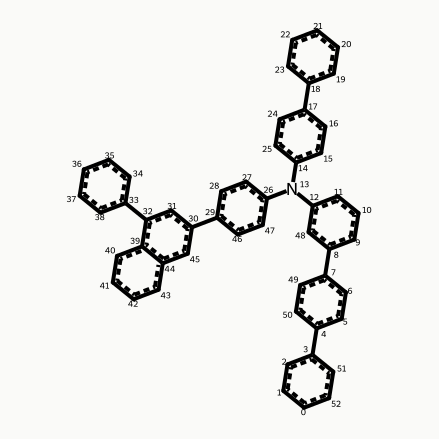 c1ccc(-c2ccc(-c3cccc(N(c4ccc(-c5ccccc5)cc4)c4ccc(-c5cc(-c6ccccc6)c6ccccc6c5)cc4)c3)cc2)cc1